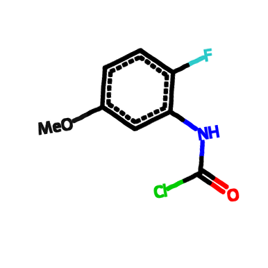 COc1ccc(F)c(NC(=O)Cl)c1